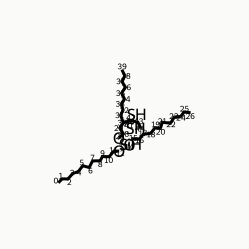 CCCCCCCCCCCCO[SiH](OCCCCCCCCCCCC)OCCC(CCCCCCCCC)C(S)(S)CC